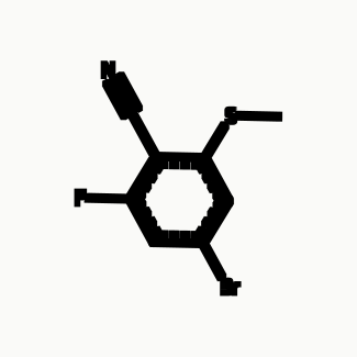 CSc1cc(Br)cc(F)c1C#N